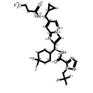 CC(F)(F)Cn1ncnc1C(=O)N[C@H](c1cn2ncc([C@H](NC(=O)CCC(F)(F)F)C3CC3)cc2n1)C1CCC(F)(F)CC1